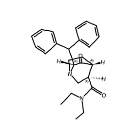 CCN(CC)C(=O)[C@H]1CN2CC[C@H]1C(=O)[C@H]2C(c1ccccc1)c1ccccc1